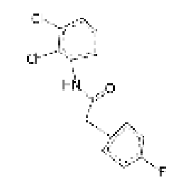 O=C(Cc1ccc(F)cc1)Nc1cccc(Cl)c1Cl